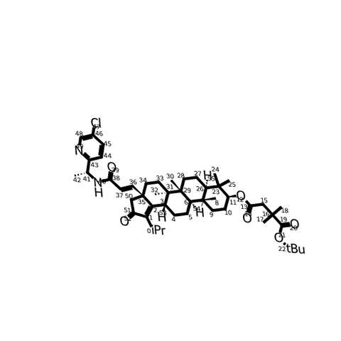 CC(C)C1=C2[C@H]3CC[C@@H]4[C@@]5(C)CC[C@H](OC(=O)CC(C)(C)C(=O)OC(C)(C)C)C(C)(C)[C@@H]5CC[C@@]4(C)[C@]3(C)CC[C@@]2(/C=C/C(=O)N[C@H](C)c2ccc(Cl)cn2)CC1=O